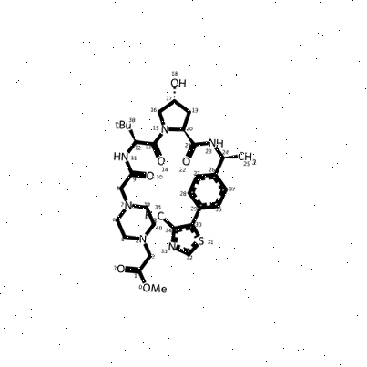 COC(=O)CN1CCN(CC(=O)N[C@H](C(=O)N2C[C@H](O)C[C@H]2C(=O)N[C@@H](C)c2ccc(-c3scnc3C)cc2)C(C)(C)C)CC1